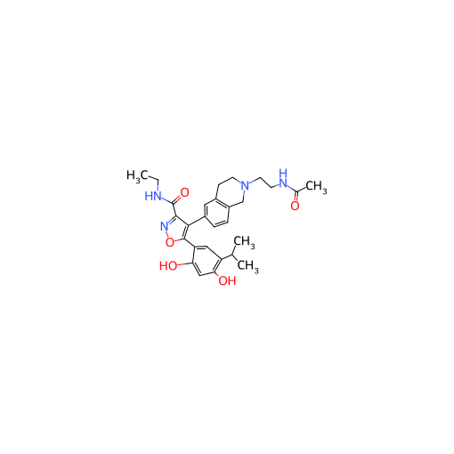 CCNC(=O)c1noc(-c2cc(C(C)C)c(O)cc2O)c1-c1ccc2c(c1)CCN(CCNC(C)=O)C2